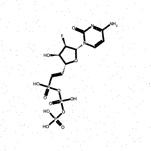 Nc1ccn([C@@H]2O[C@H](/C=C/P(=O)(O)OP(=O)(O)OP(=O)(O)O)[C@@H](O)[C@H]2F)c(=O)n1